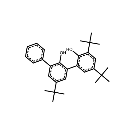 CC(C)(C)c1cc(-c2ccccc2)c(O)c(-c2cc(C(C)(C)C)cc(C(C)(C)C)c2O)c1